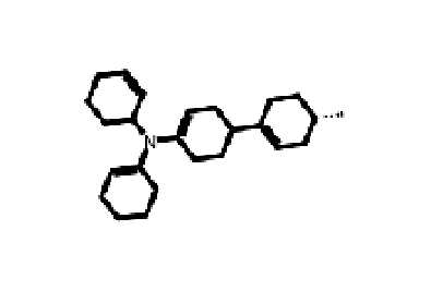 C[C@@H]1CC=C(C2CC=C(N(C3=CCCCC3)C3C=CCCC3)CC2)CC1